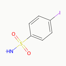 [NH]S(=O)(=O)c1ccc(I)cc1